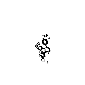 Cn1cc(C2N=CC=C(c3ccc(OC(F)(F)F)cc3)N2[C@@H]2CS(=O)(=O)C[C@@H]2O)cn1